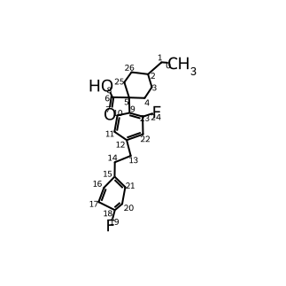 CCC1CCC(C(=O)O)(c2ccc(CCc3ccc(F)cc3)cc2F)CC1